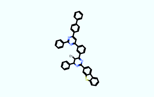 CCC1C(c2cccc(-c3cc(-c4ccc(-c5ccccc5)cc4)nc(-c4ccccc4)n3)c2)=NC(c2ccc3c(c2)sc2ccccc23)=NC1c1ccccc1